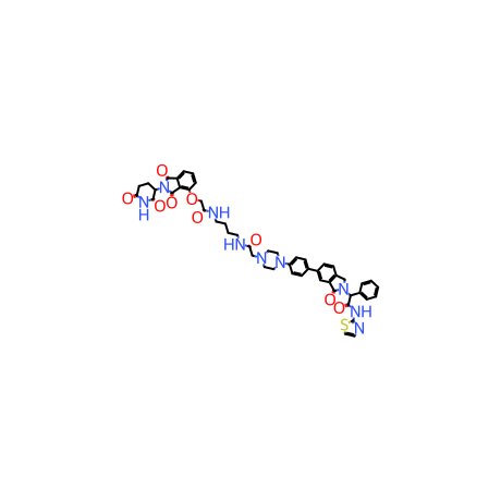 O=C(COc1cccc2c1C(=O)N(C1CCC(=O)NC1=O)C2=O)NCCCCNC(=O)CN1CCN(c2ccc(-c3ccc4c(c3)C(=O)N(C(C(=O)Nc3nccs3)c3ccccc3)C4)cc2)CC1